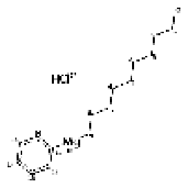 CCCCCCCCC[CH2][Mg][c]1ccccc1.Cl